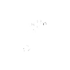 CC(CCCCCc1ccccc1)C(=O)CO[PH](=O)O